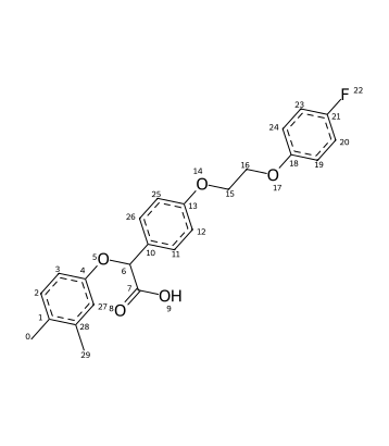 Cc1ccc(OC(C(=O)O)c2ccc(OCCOc3ccc(F)cc3)cc2)cc1C